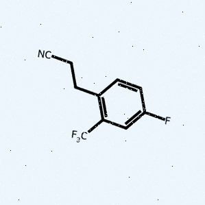 N#CCCc1ccc(F)cc1C(F)(F)F